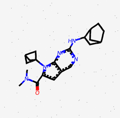 CN(C)C(=O)c1cc2cnc(NC3CC4CCC3C4)nc2n1C12CC(C1)C2